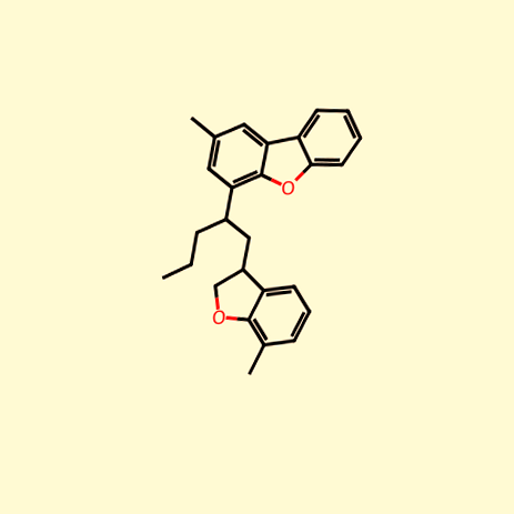 CCCC(CC1COc2c(C)cccc21)c1cc(C)cc2c1oc1ccccc12